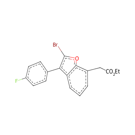 CCOC(=O)Cc1cccc2c(-c3ccc(F)cc3)c(Br)oc12